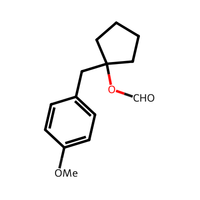 COc1ccc(CC2(OC=O)CCCC2)cc1